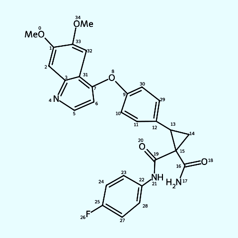 COc1cc2nccc(Oc3ccc(C4CC4(C(N)=O)C(=O)Nc4ccc(F)cc4)cc3)c2cc1OC